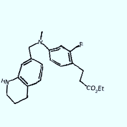 CCOC(=O)CCc1ccc(N(C)Cc2ccc3c(c2)NCCC3)cc1F